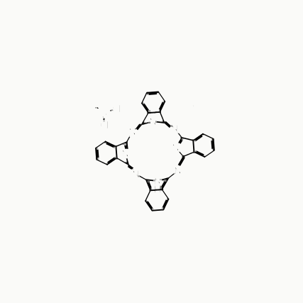 [Cl][Co]([Cl])[Cl].[Co].c1ccc2c(c1)-c1nc-2nc2[nH]c(nc3nc(nc4[nH]c(n1)c1ccccc41)-c1ccccc1-3)c1ccccc21